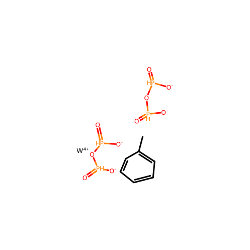 Cc1ccccc1.O=[PH]([O-])O[PH](=O)[O-].O=[PH]([O-])O[PH](=O)[O-].[W+4]